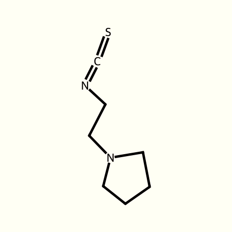 S=C=NCCN1CCCC1